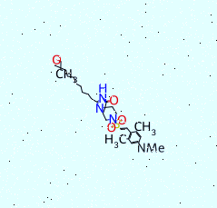 CNc1cc(C)c(C=CS(=O)(=O)N2CCC3(CC2)N=C(CCCCCCCCC2(C)COC2)NC3=O)c(C)c1